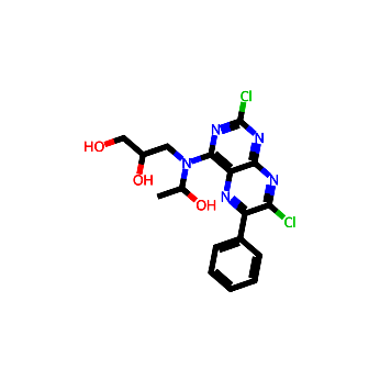 CC(O)N(CC(O)CO)c1nc(Cl)nc2nc(Cl)c(-c3ccccc3)nc12